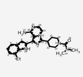 CCc1cccc2cc(-c3nc(C4CCN(C(=O)N(C)C)CC4)n4ccnc(N)c34)[nH]c12